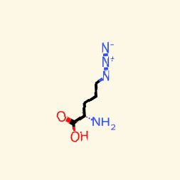 [N-]=[N+]=NCCC[C@H](N)C(=O)O